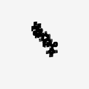 O=C(NCc1ccc(-c2noc(C(F)(F)F)n2)cc1F)C1CCC1